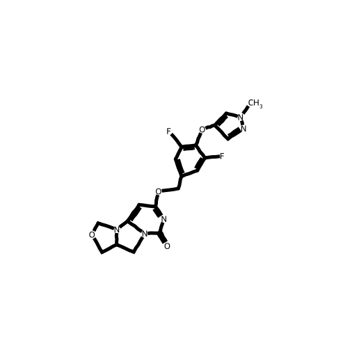 Cn1cc(Oc2c(F)cc(COc3cc4n(c(=O)n3)CC3COCN43)cc2F)cn1